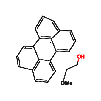 COCCO.c1cc2cccc3c4cccc5cccc(c(c1)c23)c54